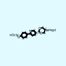 CCCCCCCCOc1ccc(-c2ccc([C@H]3OC[C@H](CCCCCCC)CO3)cn2)cc1